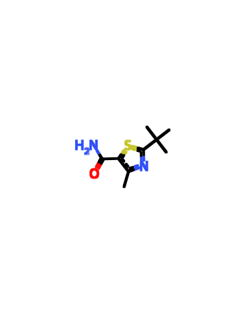 Cc1nc(C(C)(C)C)sc1C(N)=O